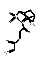 C=CC(=O)OCC(=O)OC1(C)C2CC3OS(=O)(=O)C1C3C2